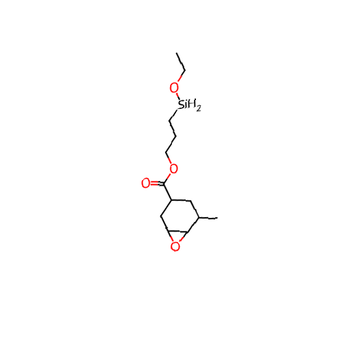 CCO[SiH2]CCCOC(=O)C1CC(C)C2OC2C1